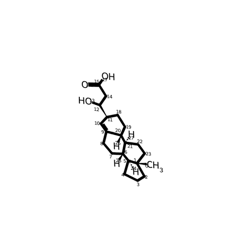 C[C@@]12CCC[C@H]1[C@@H]1CCC3=C[C@@H](C(O)CC(=O)O)CC[C@@H]3[C@H]1CC2